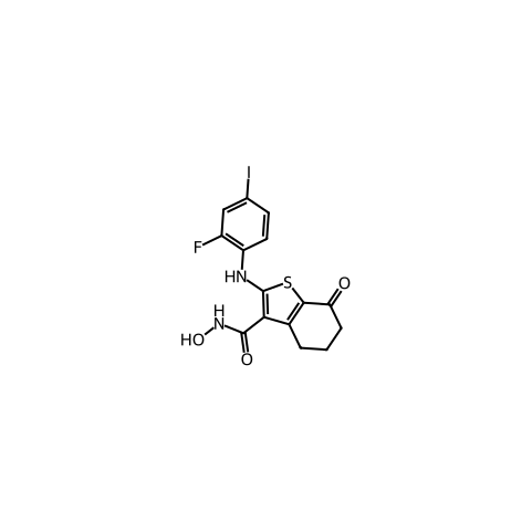 O=C1CCCc2c1sc(Nc1ccc(I)cc1F)c2C(=O)NO